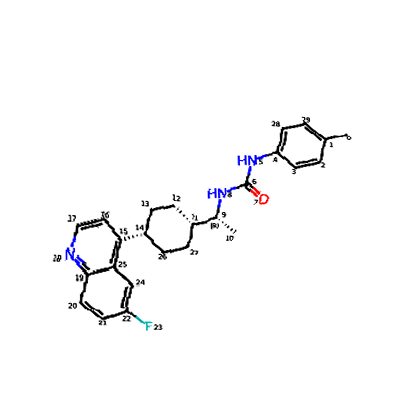 Cc1ccc(NC(=O)N[C@H](C)[C@H]2CC[C@@H](c3ccnc4ccc(F)cc43)CC2)cc1